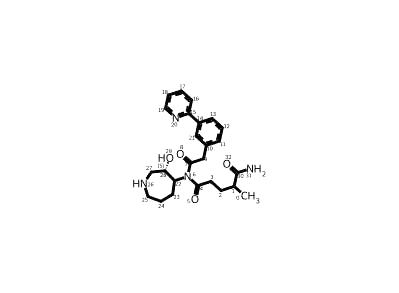 CC(C[CH]C(=O)N(C(=O)Cc1cccc(-c2ccccn2)c1)C1CCCNC[C@@H]1O)C(N)=O